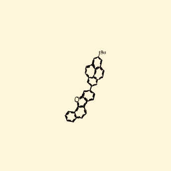 CC(C)(C)c1cc2ccc3cc(-c4ccc5c(c4)oc4c6ccccc6ccc54)cc4ccc(c1)c2c34